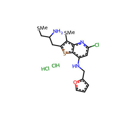 CSCC(N)Cc1sc2c(NCc3ccco3)cc(Cl)nc2c1SC.Cl.Cl